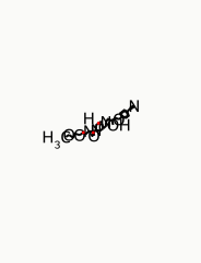 COCCOCCNC(=O)N1CC2CC(CN(CC(O)COc3ccc(C#N)cc3)C2)C1